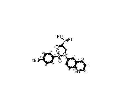 CCN(CC)C(=O)CN(c1ccc2ncccc2c1)S(=O)(=O)c1ccc(C(C)(C)C)cc1